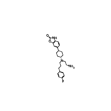 NCCN(CCCc1ccc(F)cc1)[C@H]1CC[C@H](c2ccc3[nH]c(=O)oc3c2)CC1